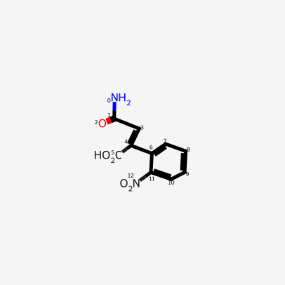 NC(=O)/C=C(\C(=O)O)c1ccccc1[N+](=O)[O-]